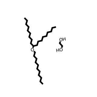 CCCCCCCCCCCOC(CCCCCCCCC)CCCCCCCCC.OCCO